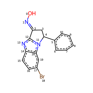 ON=C1CC(c2ccccc2)n2c1nc1ccc(Br)cc12